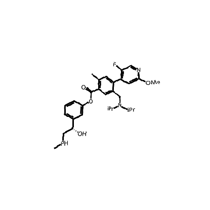 COc1cc(-c2cc(C)c(C(=O)Oc3cccc([C@H](O)CPC)c3)cc2CN(C(C)C)C(C)C)c(F)cn1